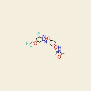 CC(=O)N[C@@H](C)CO[C@H]1CC[C@H](Oc2nc3c(F)cc(OCC(F)F)cc3n2C)CC1